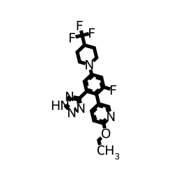 CCOc1ccc(-c2c(F)cc(N3CCC(C(F)(F)F)CC3)cc2-c2nn[nH]n2)cn1